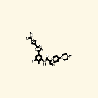 COC(=O)N1CC(c2noc(-c3cc(F)c(C)c(NC(=O)c4cnc5cc(N6CCN(C)CC6)ccn45)c3)n2)C1